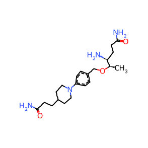 C[C@@H](OCc1ccc(N2CCC(CCC(N)=O)CC2)cc1)[C@@H](N)CCC(N)=O